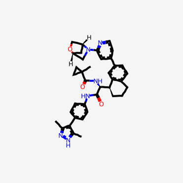 Cc1n[nH]c(C)c1-c1ccc(NC(=O)[C@@H](NC(=O)C2(C)CC2)[C@@H]2CCCc3ccc(-c4ccnc(N5C[C@H]6C[C@@H]5CO6)c4)cc32)cc1